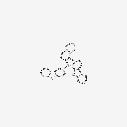 c1ccc2c(c1)ccc1c2c2ccc3c4ccccc4sc3c2n1-c1ccc2sc3ccccc3c2c1